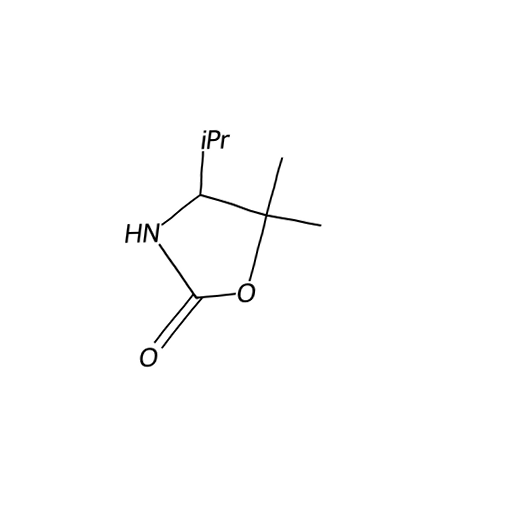 CC(C)C1NC(=O)OC1(C)C